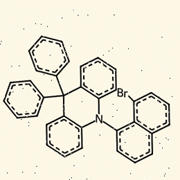 Brc1cccc2cccc(N3c4ccccc4C(c4ccccc4)(c4ccccc4)c4ccccc43)c12